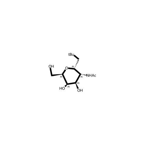 CC(=O)N[C@@H]1[C@@H](O)[C@@H](O)[C@@H](CO)O[C@@H]1CC(C)(C)C